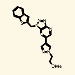 COCCn1cc(-c2cnc3nnn(Cc4cc5ccccc5s4)c3n2)cn1